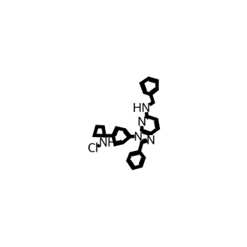 ClNC1(c2ccc(-n3c(-c4ccccc4)nc4ccc(NCc5ccccc5)nc43)cc2)CCC1